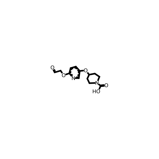 O=CCOc1ccc(OC2CCN(C(=O)O)CC2)cn1